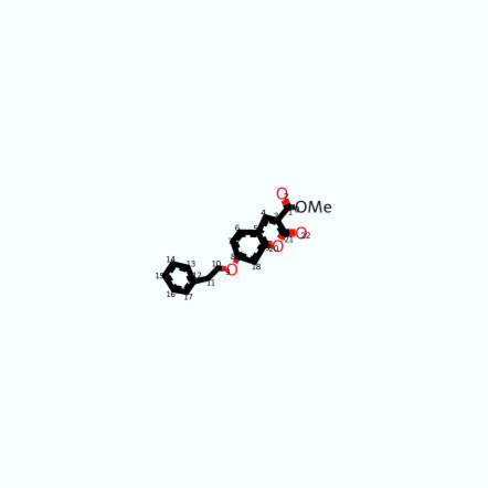 COC(=O)c1cc2ccc(OCCc3ccccc3)cc2oc1=O